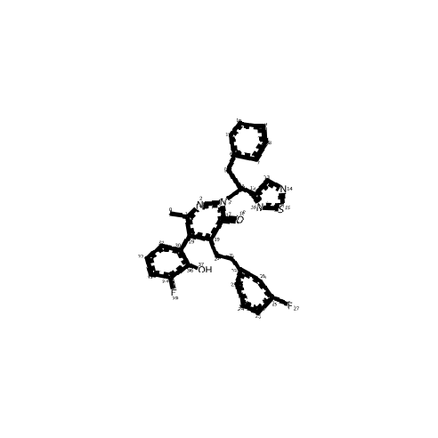 Cc1nn(C(Cc2ccccc2)c2cnsn2)c(=O)c(CCc2cccc(F)c2)c1-c1cccc(F)c1O